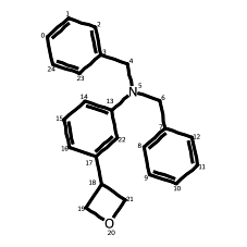 c1ccc(CN(Cc2ccccc2)c2cccc(C3COC3)c2)cc1